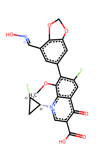 COc1c(-c2cc(/C=N/O)c3c(c2)OCO3)c(F)cc2c(=O)c(C(=O)O)cn([C@@H]3C[C@@H]3F)c12